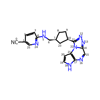 N#Cc1ccc(NC[C@H]2CC[C@@H](c3nnc4cnc5[nH]ccc5n34)C2)nc1